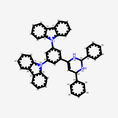 C1=C(c2cc(-n3c4ccccc4c4ccccc43)cc(-n3c4ccccc4c4ccccc43)c2)NC(c2ccccc2)NC1c1ccccc1